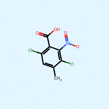 Cc1cc(Cl)c(C(=O)O)c([N+](=O)[O-])c1Cl